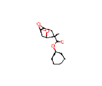 CC1(C(=O)OC2CCCCC2)CC2OC23CC1O3